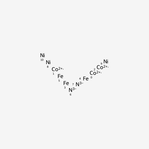 [Co+2].[Co+2].[Co+2].[Fe].[Fe].[Fe].[N-3].[N-3].[Ni].[Ni].[Ni]